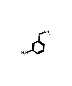 NSc1cccc(N)c1